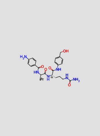 CC(C)C(NC(=O)c1ccc(N)cc1)C(=O)N[C@@H](CCCNC(N)=O)C(=O)Nc1ccc(CO)cc1